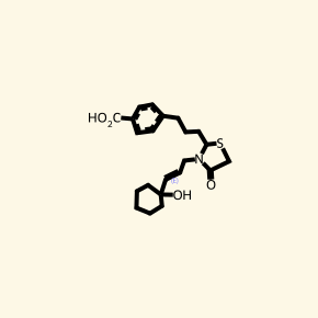 O=C(O)c1ccc(CCCC2SCC(=O)N2C/C=C/C2(O)CCCCC2)cc1